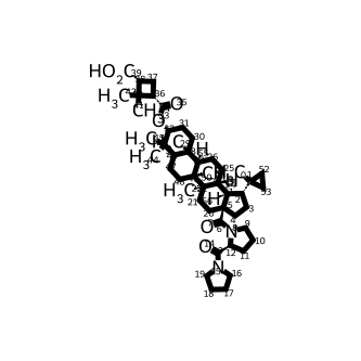 CC1([C@@H]2CC[C@]3(C(=O)N4CCC[C@H]4C(=O)N4CCCC4)CC[C@]4(C)[C@H](CC[C@@H]5[C@@]6(C)CC[C@H](OC(=O)[C@H]7C[C@@H](C(=O)O)C7(C)C)C(C)(C)C6CC[C@]54C)[C@@H]23)CC1